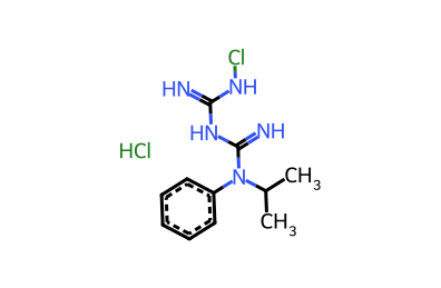 CC(C)N(C(=N)NC(=N)NCl)c1ccccc1.Cl